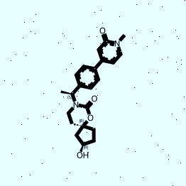 C[C@@H](c1ccc(-c2ccn(C)c(=O)c2)cc1)N1CC[C@@]2(CC[C@@H](O)C2)OC1=O